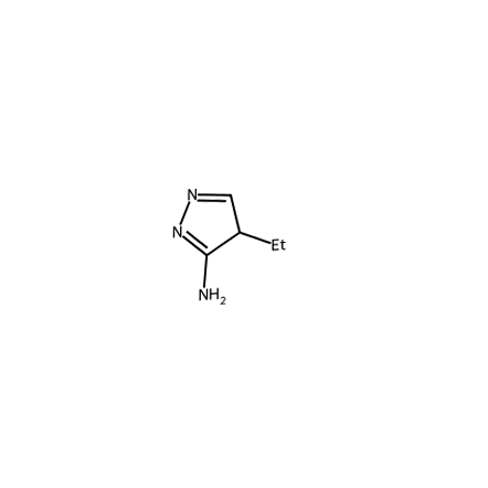 CCC1C=NN=C1N